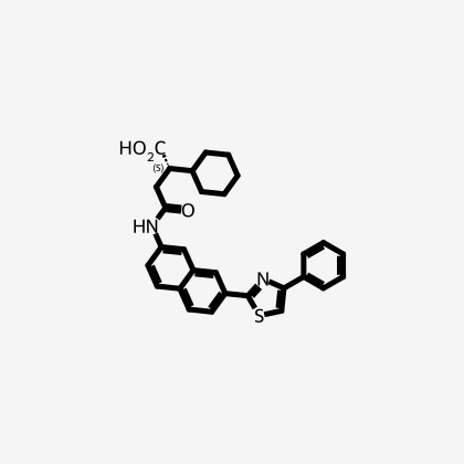 O=C(C[C@H](C(=O)O)C1CCCCC1)Nc1ccc2ccc(-c3nc(-c4ccccc4)cs3)cc2c1